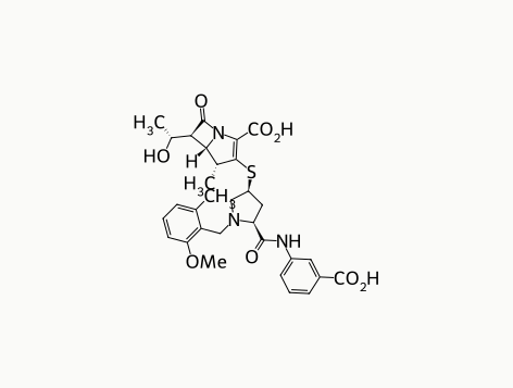 COc1cccc(C)c1CN1C[C@@H](SC2=C(C(=O)O)N3C(=O)[C@H]([C@@H](C)O)[C@H]3[C@H]2C)C[C@H]1C(=O)Nc1cccc(C(=O)O)c1